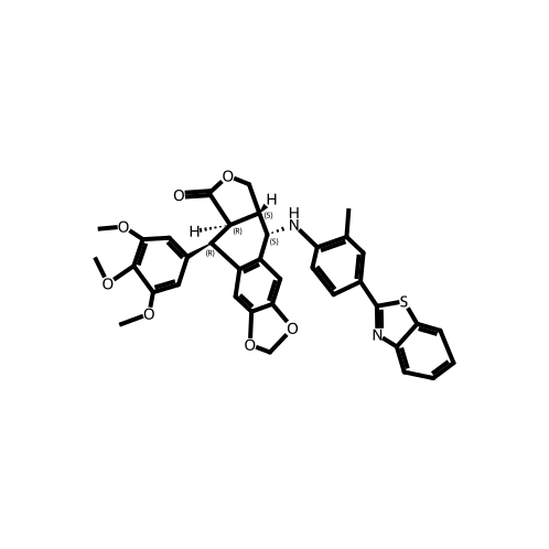 COc1cc([C@@H]2c3cc4c(cc3[C@@H](Nc3ccc(-c5nc6ccccc6s5)cc3C)[C@H]3COC(=O)[C@H]23)OCO4)cc(OC)c1OC